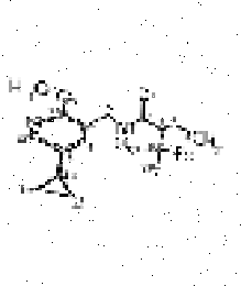 CCC(C(=O)NCc1cc(C2CC2)cnc1OC)C(F)(F)F